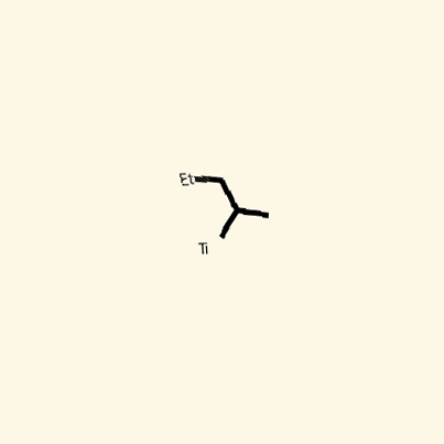 [CH2]CCC(C)C.[Ti]